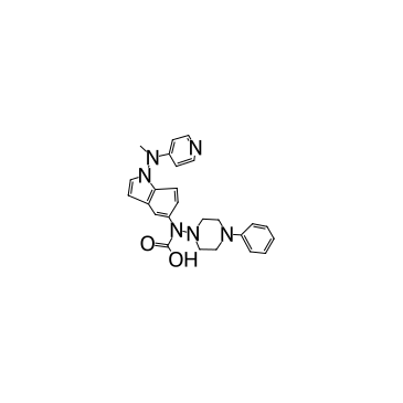 CN(c1ccncc1)n1ccc2cc(N(C(=O)O)N3CCN(c4ccccc4)CC3)ccc21